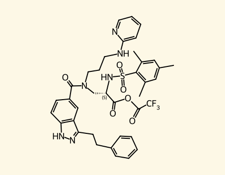 Cc1cc(C)c(S(=O)(=O)N[C@@H](CN(CCCNc2ccccn2)C(=O)c2ccc3[nH]nc(CCc4ccccc4)c3c2)C(=O)OC(=O)C(F)(F)F)c(C)c1